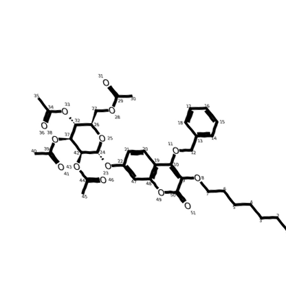 CCCCCCCCOc1c(OCc2ccccc2)c2ccc(O[C@H]3O[C@H](COC(C)=O)[C@@H](OC(C)=O)[C@H](OC(C)=O)[C@@H]3OC(C)=O)cc2oc1=O